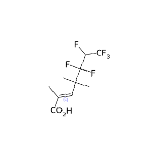 C/C(=C\C(C)(C)C(F)(F)C(F)C(F)(F)F)C(=O)O